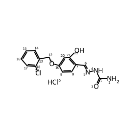 Cl.NC(=O)NN=Cc1ccc(OCc2ccccc2Cl)cc1O